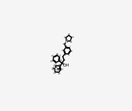 OC(CCc1cccc(CN2CCCC2)c1)(c1ccccc1)C1CN2CCC1CC2